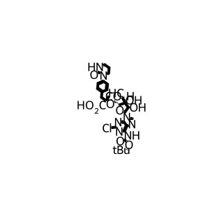 C#C[C@@]1(O)[C@@H](COC(Cc2ccc(N3CCCNC3=O)cc2)(C(=O)O)C(=O)O)O[C@@H](n2cnc3c(NC(=O)OC(C)(C)C)nc(Cl)nc32)[C@@H]1O